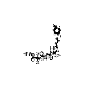 Cc1ccc(OCCCCOC[C@@H](NC(=O)CNC(=O)NC(C)(C)C(=O)OC(C)(C)C)C(C)C)cc1